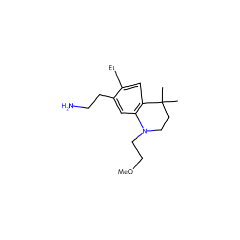 CCc1cc2c(cc1CCN)N(CCOC)CCC2(C)C